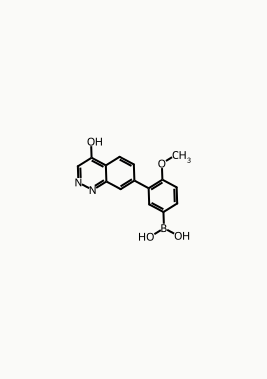 COc1ccc(B(O)O)cc1-c1ccc2c(O)cnnc2c1